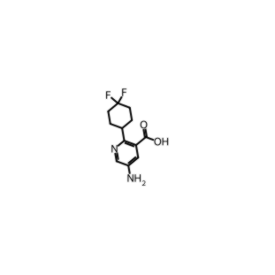 Nc1cnc(C2CCC(F)(F)CC2)c(C(=O)O)c1